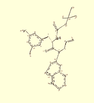 C=CCN(C(=O)[C@H](Cc1cc(F)cc(F)c1)NC(=O)OC(C)(C)C)c1ccc2nccnc2c1